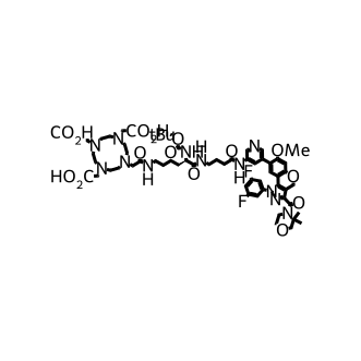 COc1cc2c(cc1-c1cncc(NC(=O)CCCNC(=O)[C@@H](CCCCNC(=O)CN3CCN(CC(=O)O)CCN(CC(=O)O)CCN(CC(=O)O)CC3)NC(=O)OC(C)(C)C)c1)-c1c(c(C(=O)N3CCOCC3(C)C)nn1-c1cc(F)cc(F)c1)CO2